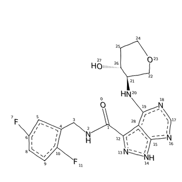 O=C(NCc1cc(F)ccc1F)c1n[nH]c2ncnc(N[C@@H]3COCC[C@H]3O)c12